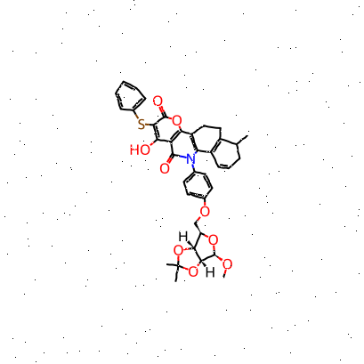 CO[C@@H]1O[C@H](COc2ccc(-n3c4c(c5oc(=O)c(Sc6ccccc6)c(O)c5c3=O)CCC3=C4C=CCC3C)cc2)[C@H]2OC(C)(C)O[C@@H]12